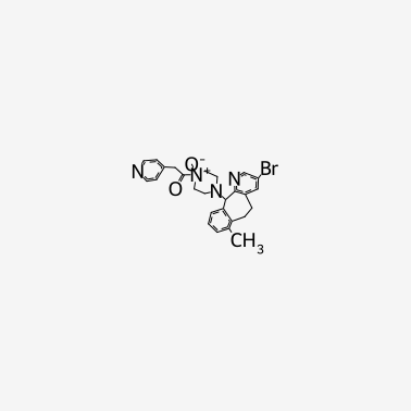 Cc1cccc2c1CCc1cc(Br)cnc1C2N1CC[N+]([O-])(C(=O)Cc2ccncc2)CC1